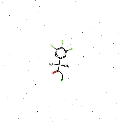 CC(C)(C(=O)CCl)c1cc(F)c(F)c(F)c1